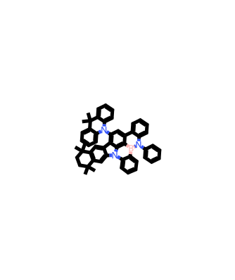 CC1(C)CCC(C)(C)c2cc3c(cc21)c1c(N2c4ccccc4C(C)(C)c4ccccc42)cc2c4c1n3-c1ccccc1B4N(c1ccccc1)c1ccccc1-2